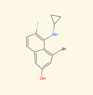 CC(C)c1cc(O)cc2ccc(F)c(NC3CC3)c12